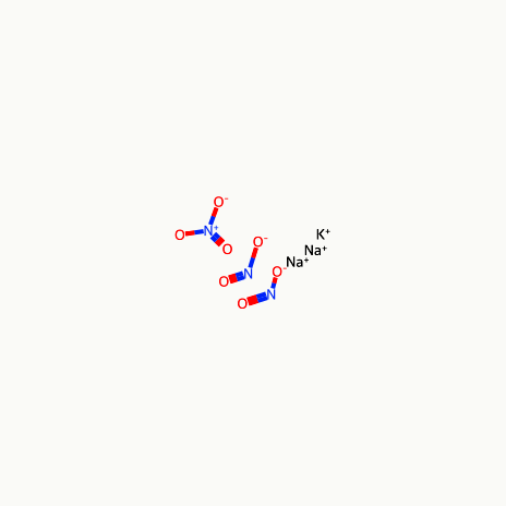 O=N[O-].O=N[O-].O=[N+]([O-])[O-].[K+].[Na+].[Na+]